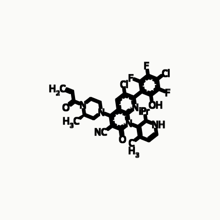 C=CC(=O)N1CCN(c2c(C#N)c(=O)n(C3=C(C)C=CNC3C(C)C)c3nc(-c4c(O)c(F)c(Cl)c(F)c4F)c(Cl)cc23)C[C@H]1C